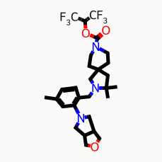 Cc1ccc(CN2CC3(CCN(C(=O)OC(C(F)(F)F)C(F)(F)F)CC3)CC2(C)C)c(N2CC3COCC3C2)c1